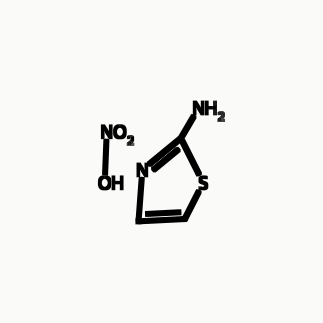 Nc1nccs1.O=[N+]([O-])O